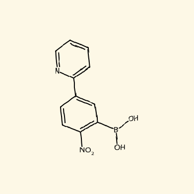 O=[N+]([O-])c1ccc(-c2ccccn2)cc1B(O)O